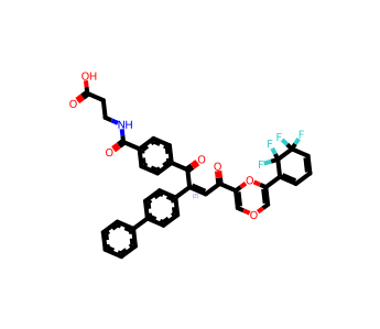 O=C(O)CCNC(=O)c1ccc(C(=O)/C(=C\C(=O)C2=COC=C(C3=CC=CC(F)(F)C3(F)F)O2)c2ccc(-c3ccccc3)cc2)cc1